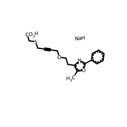 Cc1oc(-c2ccccc2)nc1CCOCC#CCSCC(=O)O.[NaH]